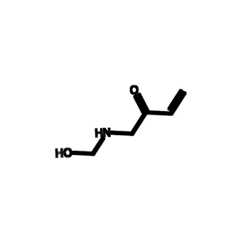 C=CC(=O)CNCO